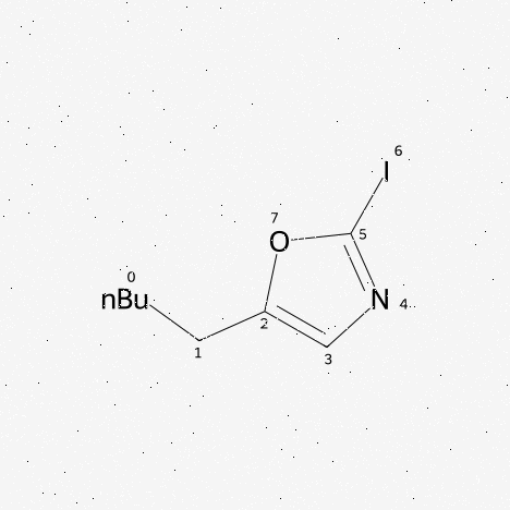 CCCCCc1cnc(I)o1